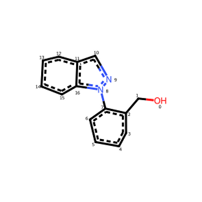 OCc1ccccc1-n1ncc2ccccc21